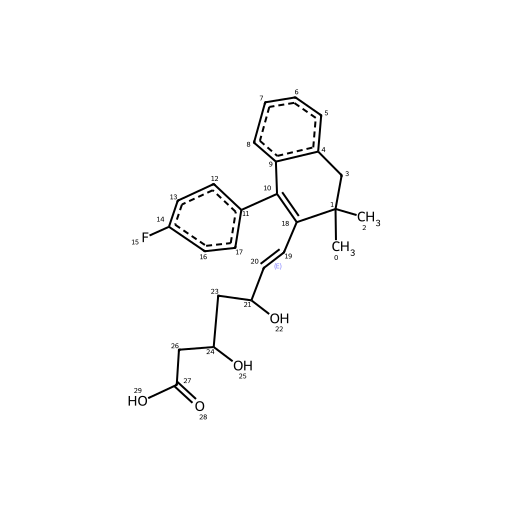 CC1(C)Cc2ccccc2C(c2ccc(F)cc2)=C1/C=C/C(O)CC(O)CC(=O)O